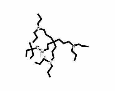 CCCN(CCC)CCCC(CCCN(CCC)CCC)(CCCN(CCC)CCC)CC[SiH2]OC(C)(CC)CC